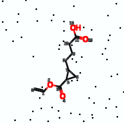 C=COC(=O)C1CC1CCCC(=O)O